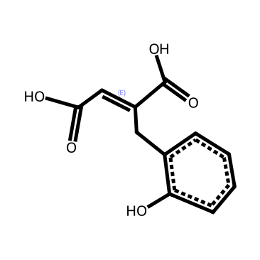 O=C(O)/C=C(\Cc1ccccc1O)C(=O)O